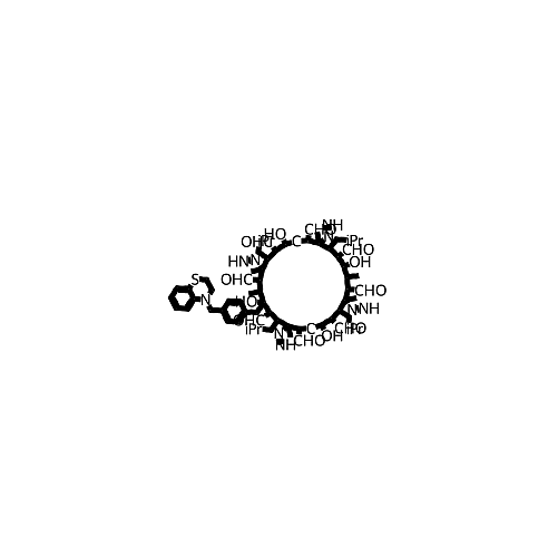 CC(C)CC1C(C=O)C(O)C(C)C(C=O)C(C)(N=N)C(CC(C)C)C(C=O)C(O)CC(C=O)C(C)(N=N)C(CC(C)C)C(C=O)C(O)(Cc2ccc(CN3CCSc4ccccc43)cc2)C(C)C(C=O)C(C)(N=N)C(CC(C)C)C(C=O)C(O)CC(C=O)C1(C)N=N